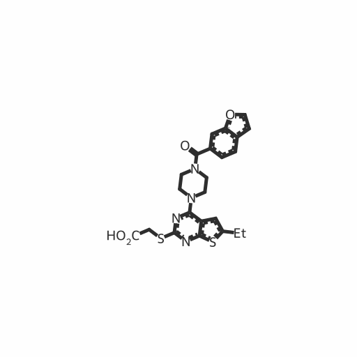 CCc1cc2c(N3CCN(C(=O)c4ccc5ccoc5c4)CC3)nc(SCC(=O)O)nc2s1